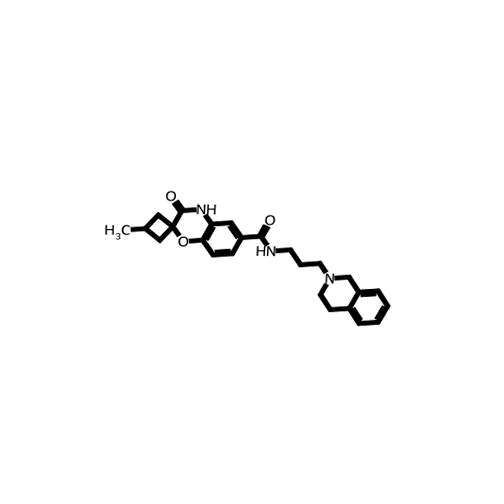 CC1CC2(C1)Oc1ccc(C(=O)NCCCN3CCc4ccccc4C3)cc1NC2=O